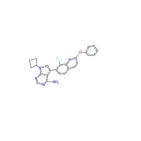 Nc1ncnc2c1c(-c1ccc3ccc(Oc4ccccc4)nc3c1F)cn2C1CCC1